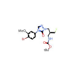 COc1cc(-n2cnn(C/C(=C\F)CNC(=O)OC(C)(C)C)c2=O)ccc1Br